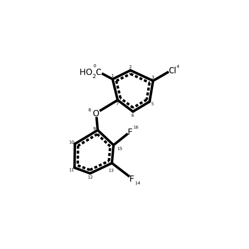 O=C(O)c1cc(Cl)ccc1Oc1cccc(F)c1F